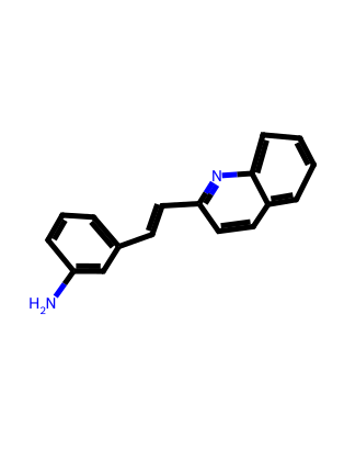 Nc1cccc(/C=C/c2ccc3ccccc3n2)c1